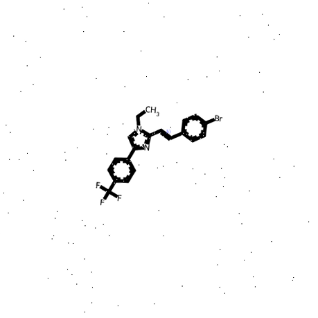 CCn1cc(-c2ccc(C(F)(F)F)cc2)nc1/C=C/c1ccc(Br)cc1